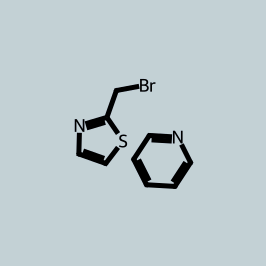 BrCc1nccs1.c1ccncc1